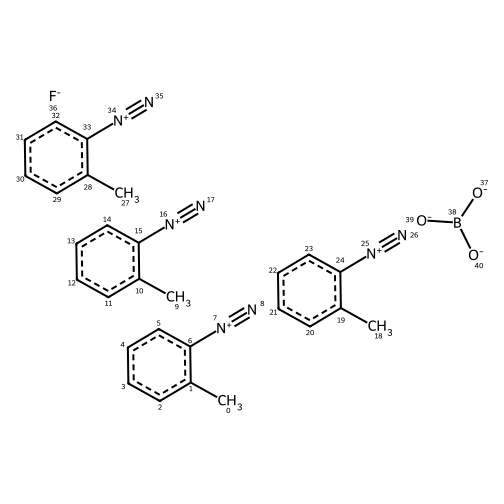 Cc1ccccc1[N+]#N.Cc1ccccc1[N+]#N.Cc1ccccc1[N+]#N.Cc1ccccc1[N+]#N.[F-].[O-]B([O-])[O-]